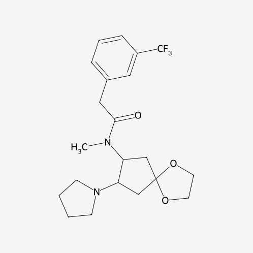 CN(C(=O)Cc1cccc(C(F)(F)F)c1)C1CC2(CC1N1CCCC1)OCCO2